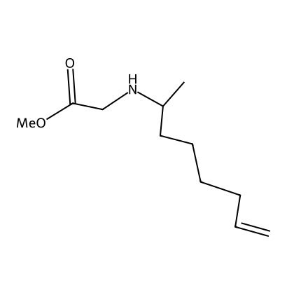 C=CCCCCC(C)NCC(=O)OC